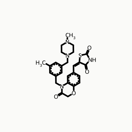 Cc1cc(CN2CCN(C)CC2)cc(CN2C(=O)COc3ccc(C=C4SC(=O)NC4=O)cc32)c1